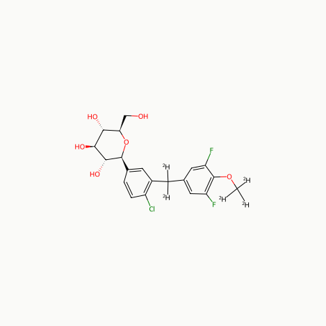 [2H]C([2H])([2H])Oc1c(F)cc(C([2H])([2H])c2cc([C@@H]3O[C@H](CO)[C@@H](O)[C@H](O)[C@H]3O)ccc2Cl)cc1F